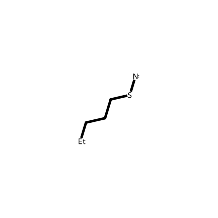 CCCCCS[N]